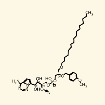 CCCCCCCCCCCCCCCCCOC[C@H](COP(=O)(O)OC[C@@H](OC#N)[C@@H](O)[C@@H](O)c1ccc2c(N)ncnn12)OCc1ccc(OC)cc1